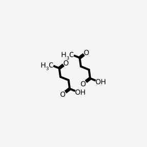 CC(=O)CCC(=O)O.CC(=O)CCC(=O)O